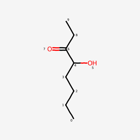 CCCCC(O)C(=O)CC